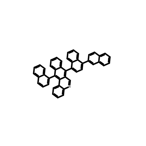 c1ccc2cc(-c3ccc(-c4c5ccccc5c(-c5cccc6ccccc56)c5c4cnc4ccccc45)c4ccccc34)ccc2c1